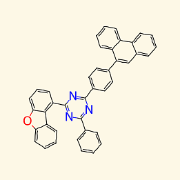 c1ccc(-c2nc(-c3ccc(-c4cc5ccccc5c5ccccc45)cc3)nc(-c3cccc4oc5ccccc5c34)n2)cc1